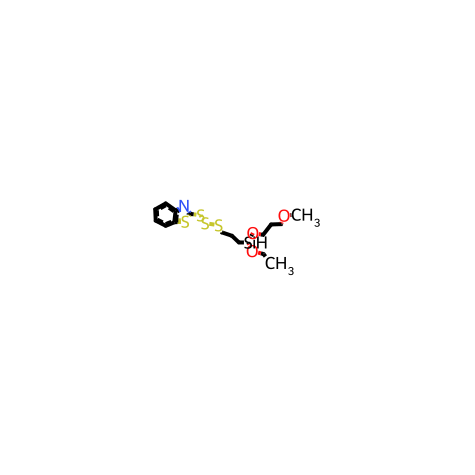 CCO[SiH](CCCSSSc1nc2ccccc2s1)OCCCOC